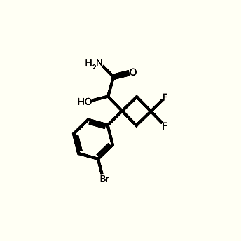 NC(=O)C(O)C1(c2cccc(Br)c2)CC(F)(F)C1